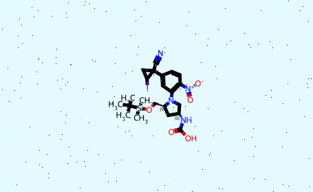 CC(C)(C)[Si](C)(C)OC[C@@H]1C[C@H](NC(=O)O)CN1c1cc(C2(C#N)CC2I)ccc1[N+](=O)[O-]